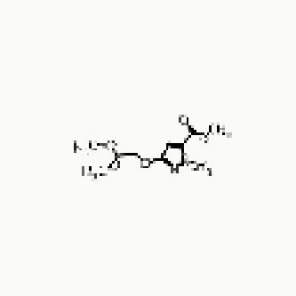 COC(=O)c1cc(OCC(OC)OC)nn1C